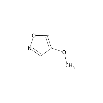 COc1[c]onc1